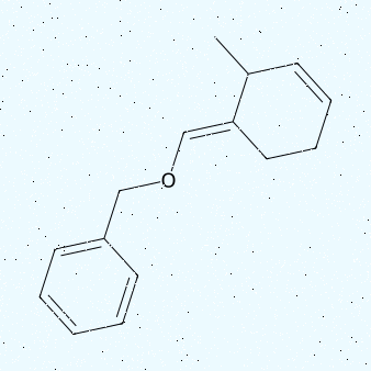 CC1C=CCCC1=COCc1ccccc1